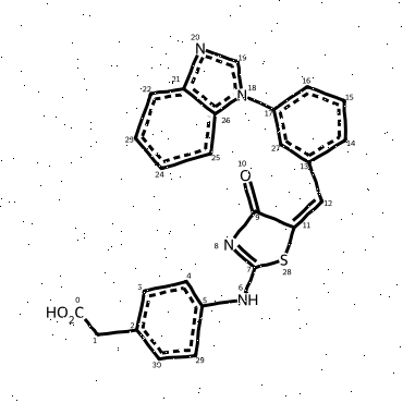 O=C(O)Cc1ccc(NC2=NC(=O)C(=Cc3cccc(-n4cnc5ccccc54)c3)S2)cc1